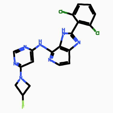 FC1CN(c2cc(Nc3nccc4nc(-c5c(Cl)cccc5Cl)[nH]c34)ncn2)C1